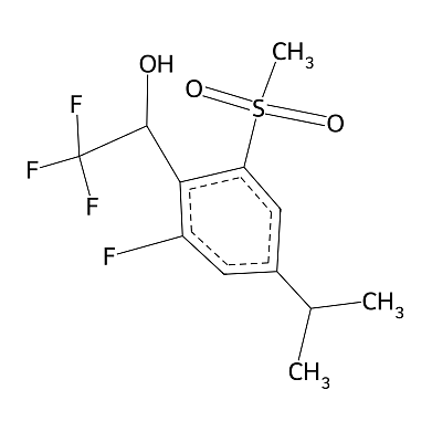 CC(C)c1cc(F)c(C(O)C(F)(F)F)c(S(C)(=O)=O)c1